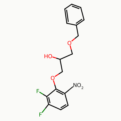 O=[N+]([O-])c1ccc(F)c(F)c1OCC(O)COCc1ccccc1